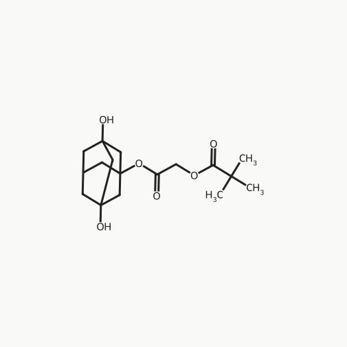 CC(C)(C)C(=O)OCC(=O)OC12CC3CC(O)(CC(O)(C3)C1)C2